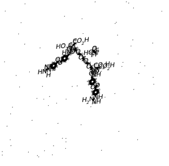 N=C(N)Nc1ccc(C(=O)Oc2ccc(CNS(=O)(=O)N(CCOCCOCCOCCOCCN(C(CC(=O)O)C(=O)O)S(=O)(=O)NCc3ccc(OC(=O)c4ccc(NC(=N)N)cc4)cc3)C(CC(=O)O)C(=O)O)cc2)cc1.O=C(O)C(F)(F)F